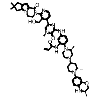 C=CC(=O)Nc1cc(Nc2nc(-c3ccnc(N4CCn5c(cc6c5CC(C)(C)C6)C4=O)c3CO)cn(C)c2=O)ccc1N1CCN(C2CCN(c3ccc4c(c3)OC[C@@H](C)N4)[C@@H](C)C2)C[C@@H]1C